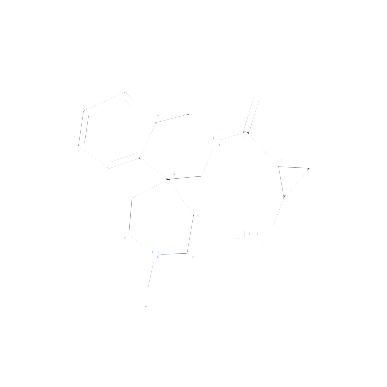 CCOC(=O)C1CC1C(=O)N1Cc2ccccc2C2(CCN(C(=O)O)CC2)C1